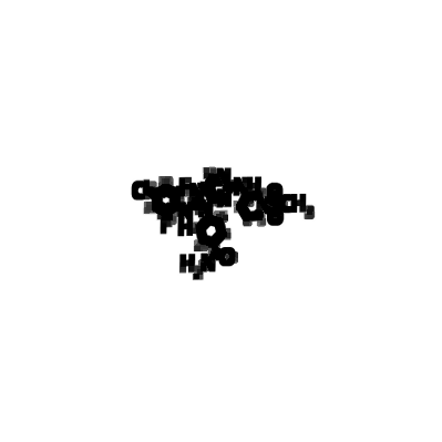 CS(=O)(=O)N1CCC[C@@H](Nc2ncc3nc(Nc4c(F)cc(Cl)cc4F)n([C@H]4CC[C@H](C(N)=O)CC4)c3n2)C1